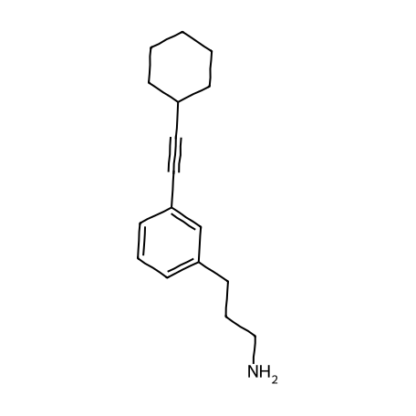 NCCCc1cccc(C#CC2CCCCC2)c1